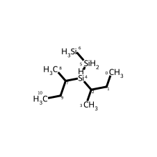 CCC(C)[SiH]([SiH2][SiH3])C(C)CC